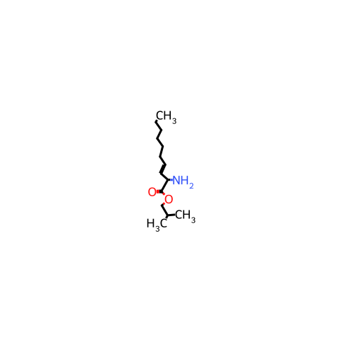 CCCCCC/C=C/C(N)C(=O)OCC(C)C